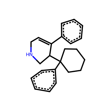 C1=C(c2ccccc2)C(C2(c3ccccc3)CCCCC2)CNC1